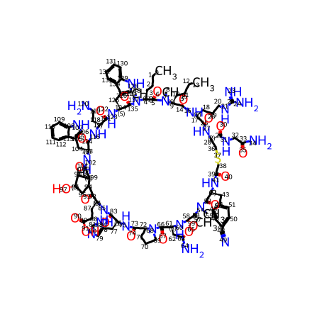 CCCC[C@H]1C(=O)N(C)[C@@H](CCCC)C(=O)N[C@@H](CCCNC(=N)N)C(=O)N[C@H](C(=O)NCC(N)=O)CSCC(=O)N[C@@H](Cc2ccc(C#N)cc2)C(=O)N(C)[C@@H](C)C(=O)N[C@@H](CC(N)=O)C(=O)N2CCCC2C(=O)N[C@@H](Cc2cnc[nH]2)C(=O)N[C@@H](CCC(=O)O)C(=O)C2C[C@H](O)C[C@H]2C(=O)N[C@@H](Cc2c[nH]c3ccccc23)C(=O)N[C@@H](CCN)C(=O)N[C@@H](Cc2c[nH]c3ccccc23)C(=O)N1C